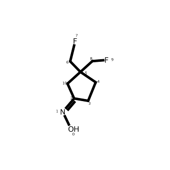 O/N=C1\CCC(CF)(CF)C1